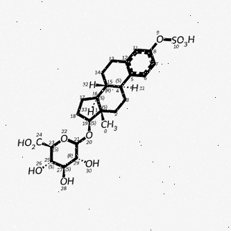 C[C@]12CC[C@@H]3c4ccc(OS(=O)(=O)O)cc4CC[C@H]3[C@@H]1CC[C@@H]2OC1O[C@H](C(=O)O)[C@@H](O)[C@H](O)[C@H]1O